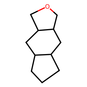 C1CC2CC3COCC3CC2C1